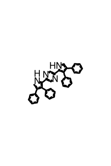 c1ccc(-c2c[nH]c(-c3cnc(-c4[nH]cc(-c5ccccc5)c4-c4ccccc4)cn3)c2-c2ccccc2)cc1